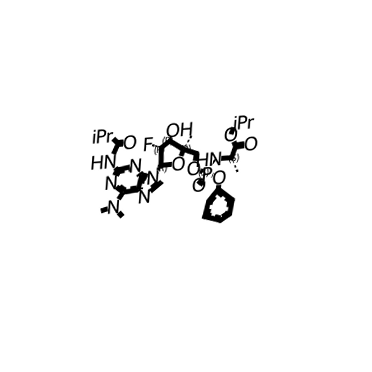 CC(C)OC(=O)[C@H](C)N[P@](=O)(OC[C@@]1(C)O[C@@H](n2cnc3c(N(C)C)nc(NC(=O)C(C)C)nc32)[C@H](F)[C@@H]1O)Oc1ccccc1